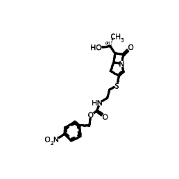 C[C@@H](O)C1C(=O)N2C=C(SCCNC(=O)OCc3ccc([N+](=O)[O-])cc3)CC12